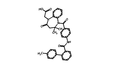 Cc1ccc(-c2ccccc2C(=O)Nc2ccc(C(=O)N3c4ccccc4N(CC(=O)O)C(=O)CC3(C)C)cc2)cc1